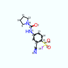 N#Cc1cc(NC(=O)N2CCCC2)ccc1S(=O)(=O)I